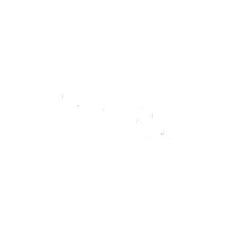 NC(=O)C(F)NC(=O)c1ccc(OCc2ccc(F)cc2)cc1